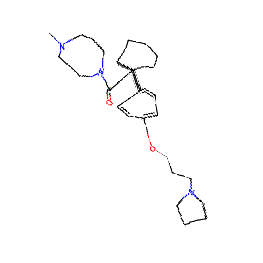 CN1CCN(C(=O)C2(c3ccc(OCCCN4CCCC4)cc3)CCCCC2)CC1